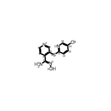 NC(=NO)c1ccncc1Sc1ccc(Cl)cn1